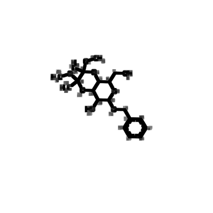 COC1(C)OC2C(CO)OC(OCc3ccccc3)C(O)C2OC1(C)OC